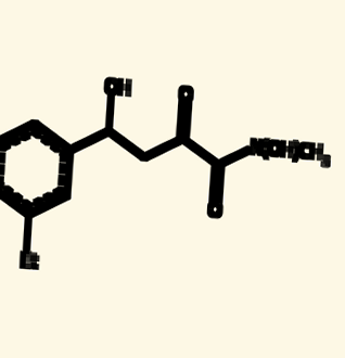 CCc1cccc(C(O)CC(=O)C(=O)N(C)O)c1